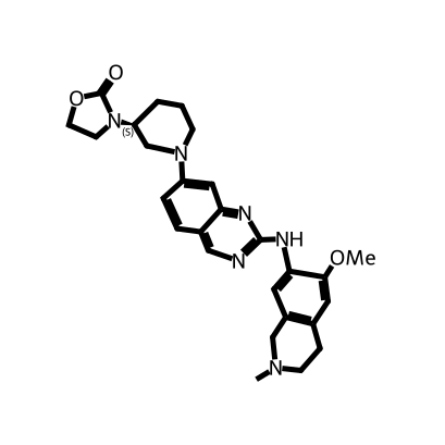 COc1cc2c(cc1Nc1ncc3ccc(N4CCC[C@H](N5CCOC5=O)C4)cc3n1)CN(C)CC2